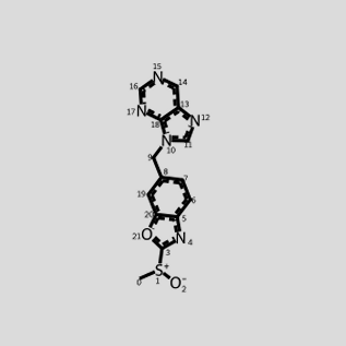 C[S+]([O-])c1nc2ccc(Cn3cnc4cncnc43)cc2o1